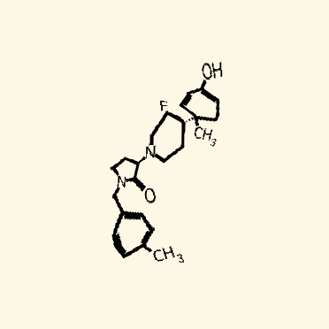 Cc1ccc(CN2CC[C@@H](N3CC[C@@H](C4(C)C=CC(O)=CC4)[C@@H](F)C3)C2=O)cc1